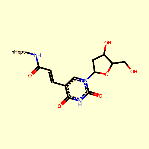 CCCCCCCNC(=O)/C=C/c1cn(C2CC(O)C(CO)O2)c(=O)[nH]c1=O